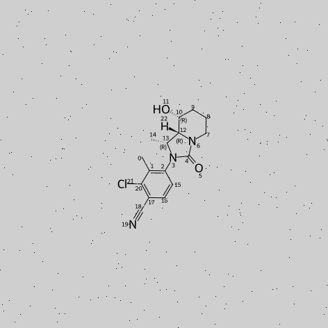 Cc1c(N2C(=O)N3CCC[C@@H](O)[C@H]3[C@H]2C)ccc(C#N)c1Cl